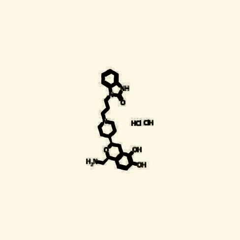 Cl.Cl.NC[C@H]1O[C@@H](C2CCN(CCCn3c(=O)[nH]c4ccccc43)CC2)Cc2c1ccc(O)c2O